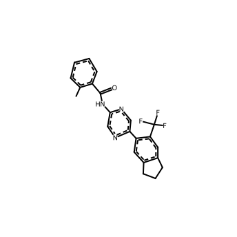 Cc1ccccc1C(=O)Nc1cnc(-c2cc3c(cc2C(F)(F)F)CCC3)cn1